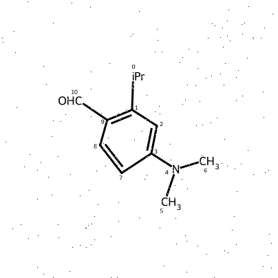 CC(C)c1cc(N(C)C)ccc1C=O